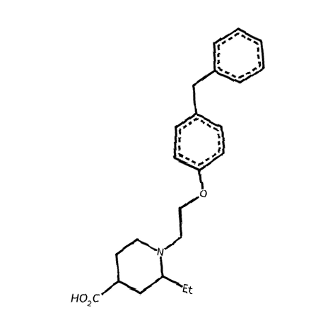 CCC1CC(C(=O)O)CCN1CCOc1ccc(Cc2ccccc2)cc1